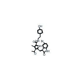 CC(=O)c1c(C=C2C(=O)Nc3ccc(Br)cc32)[nH]c(C(=O)NCCc2ccc(O)cc2)c1C